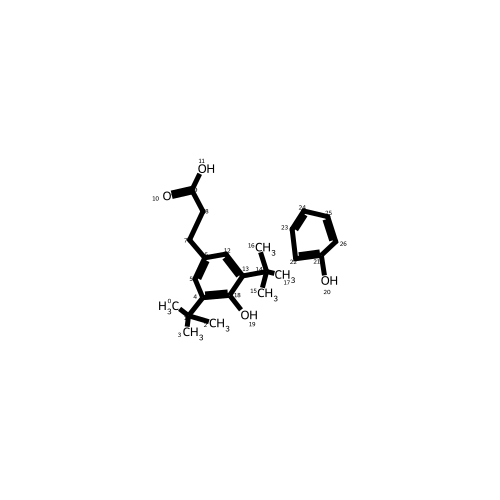 CC(C)(C)c1cc(CCC(=O)O)cc(C(C)(C)C)c1O.Oc1ccccc1